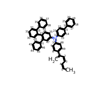 C=C(/C=C\C=C/C)c1ccc(N(c2ccc(-c3ccccc3)cc2)c2ccc(-c3ccccc3-c3ccccc3)c(-c3ccccc3)c2)cc1